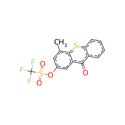 Cc1cc(OS(=O)(=O)C(F)(F)F)cc2c(=O)c3ccccc3sc12